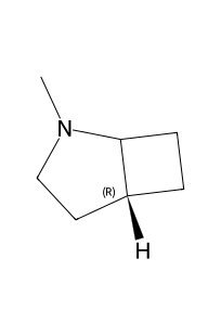 CN1CC[C@H]2CCC21